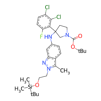 Cc1c2ccc(NC3(c4c(F)ccc(Cl)c4Cl)CCN(C(=O)OC(C)(C)C)C3)cc2nn1CCO[Si](C)(C)C(C)(C)C